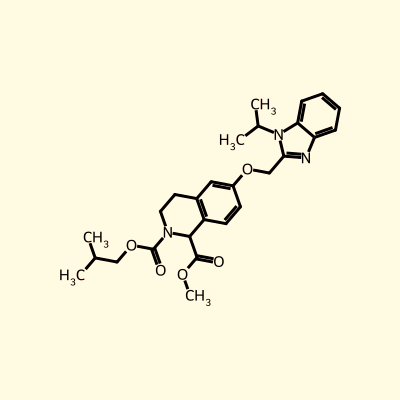 COC(=O)C1c2ccc(OCc3nc4ccccc4n3C(C)C)cc2CCN1C(=O)OCC(C)C